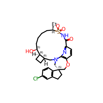 CC[C@@H]1CCCC[C@H](O)[C@@H]2CC[C@H]2CN2C[C@@]3(CCc4cc(Cl)ccc43)COc3ccc(nc32)C(=O)NS1(=O)=O